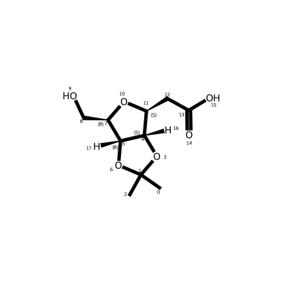 CC1(C)O[C@@H]2[C@H](O1)[C@@H](CO)O[C@H]2CC(=O)O